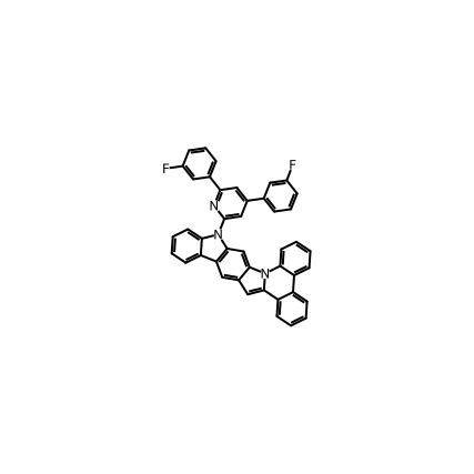 Fc1cccc(-c2cc(-c3cccc(F)c3)nc(-n3c4ccccc4c4cc5cc6c7ccccc7c7ccccc7n6c5cc43)c2)c1